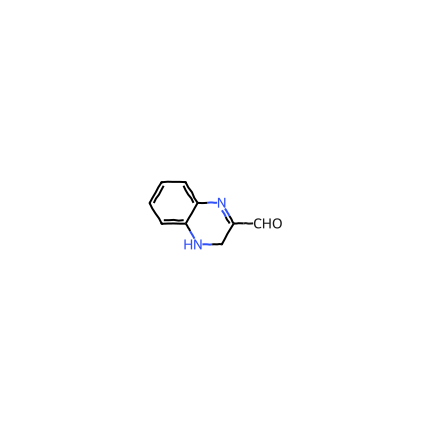 O=CC1=Nc2ccccc2NC1